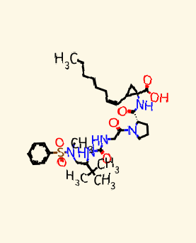 CCCCCC/C=C\C1C[C@]1(NC(=O)[C@@H]1CCCN1C(=O)CNC(=O)NC(CN(C)S(=O)(=O)c1ccccc1)C(C)(C)C)C(=O)O